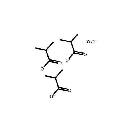 CC(C)C(=O)[O-].CC(C)C(=O)[O-].CC(C)C(=O)[O-].[Os+3]